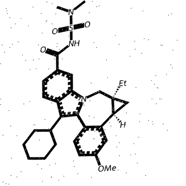 CC[C@]12C[C@H]1c1cc(OC)ccc1-c1c(C3CCCCC3)c3ccc(C(=O)NS(=O)(=O)N(C)C)cc3n1C2